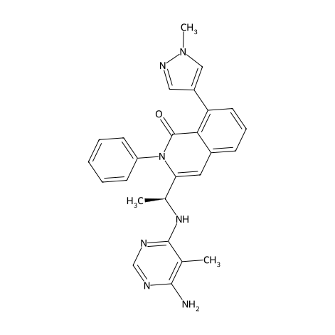 Cc1c(N)ncnc1N[C@@H](C)c1cc2cccc(-c3cnn(C)c3)c2c(=O)n1-c1ccccc1